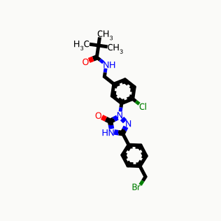 CC(C)(C)C(=O)NCc1ccc(Cl)c(-n2nc(-c3ccc(CBr)cc3)[nH]c2=O)c1